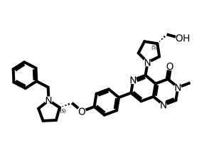 Cn1cnc2cc(-c3ccc(OC[C@@H]4CCCN4Cc4ccccc4)cc3)nc(N3CC[C@H](CO)C3)c2c1=O